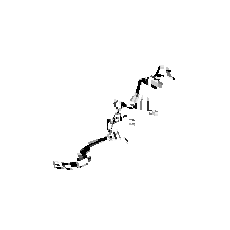 CCOC[SiH2]O[SiH2]O[SiH2]COCC